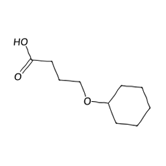 O=C(O)CCCOC1CCCCC1